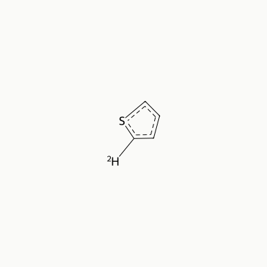 [2H]c1cccs1